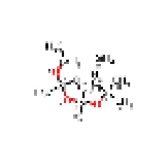 C[SiH2]O[Si](C)(C)O[Si](C)(C)O[Si](C)(C)C.[SiH4]